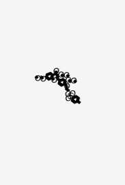 COCOc1ccc2c(=O)c(OCOC)c(-c3ccc(OCCOS(=O)(=O)c4ccc(C)cc4)c(OCOC)c3)oc2c1